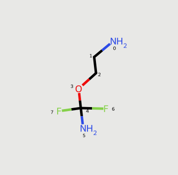 NCCOC(N)(F)F